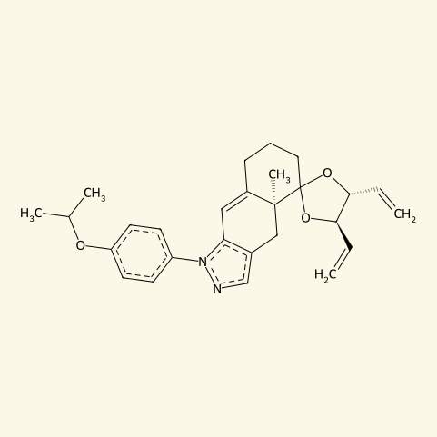 C=C[C@H]1OC2(CCCC3=Cc4c(cnn4-c4ccc(OC(C)C)cc4)C[C@@]32C)O[C@@H]1C=C